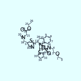 CCOCCN(c1cccc2c1NC(c1ncc(CN(C)CC(=O)OCC)s1)C2)S(=O)(=O)c1cccs1